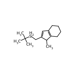 C[C]1C(C[SiH2]C(C)(C)C)=CC2=C1CCCC2